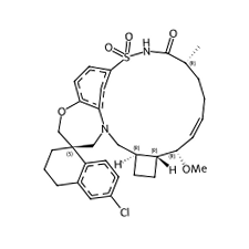 CO[C@H]1C=CCC[C@@H](C)C(=O)NS(=O)(=O)c2ccc3c(c2)N(C[C@@H]2CC[C@H]21)C[C@@]1(CCCc2cc(Cl)ccc21)CO3